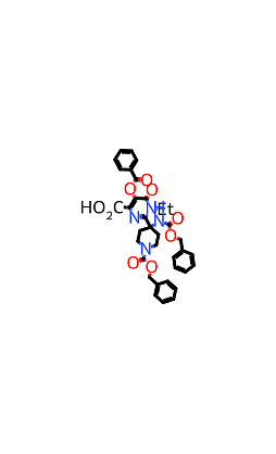 CCn1c(C2(NC(=O)OCc3ccccc3)CCN(C(=O)OCc3ccccc3)CC2)nc(C(=O)O)c(OC(=O)c2ccccc2)c1=O